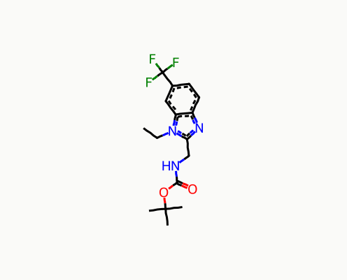 CCn1c(CNC(=O)OC(C)(C)C)nc2ccc(C(F)(F)F)cc21